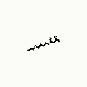 C=CCOCCCCOC(=O)CC(C)=O